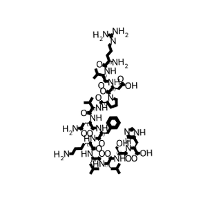 CC(C)C[C@H](NC(=O)[C@H](CC(C)C)NC(=O)[C@H](CCCCN)NC(=O)[C@H](Cc1ccccc1)NC(=O)[C@H](CC(N)=O)NC(=O)[C@@H](NC(=O)[C@@H]1CCCN1C(=O)[C@H](CC(=O)O)NC(=O)[C@@H](NC(=O)[C@@H](N)CCCN=C(N)N)C(C)C)C(C)C)C(=O)N[C@@H](CO)C(=O)N[C@@H](Cc1cnc[nH]1)C(=O)O